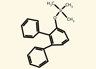 C[Si](C)(C)Oc1cc[c]c(-c2ccccc2)c1-c1ccccc1